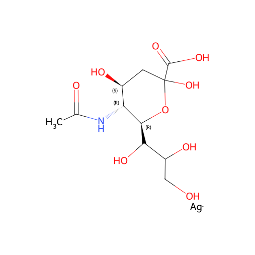 CC(=O)N[C@@H]1[C@@H](O)CC(O)(C(=O)O)O[C@H]1C(O)C(O)CO.[Ag]